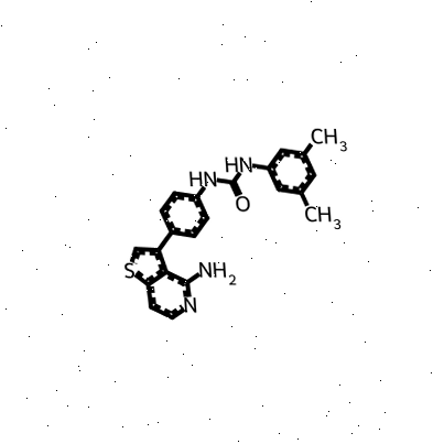 Cc1cc(C)cc(NC(=O)Nc2ccc(-c3csc4ccnc(N)c34)cc2)c1